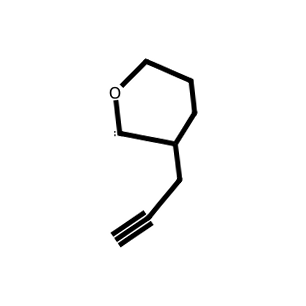 C#CCC1[C]OCCC1